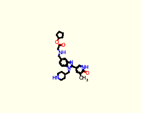 Cc1cc(-c2nc3cc(CNCC(=O)OC4CCCC4)ccc3n2CC2CCNCC2)c[nH]c1=O